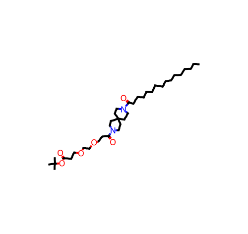 CCCCCCCCCCCCCCCC(=O)N1CCC2(CC1)CCN(C(=O)CCOCCOCCC(=O)OC(C)(C)C)CC2